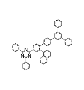 c1ccc(-c2cc(-c3ccccc3)cc(-c3ccc(-c4ccc(-c5nc(-c6ccccc6)nc(-c6ccccc6)n5)cc4-c4cccc5ccccc45)cc3)c2)cc1